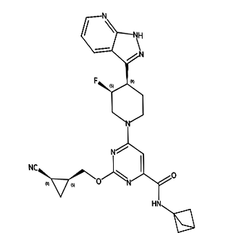 N#C[C@@H]1C[C@@H]1COc1nc(C(=O)NC23CC(C2)C3)cc(N2CC[C@H](c3n[nH]c4ncccc34)[C@H](F)C2)n1